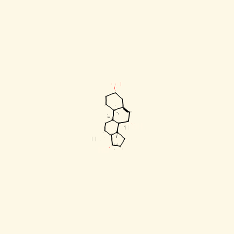 C[C@]12CC[C@H]3[C@@H]([C@@H](O)C=C4C[C@H](O)CC[C@@H]43)[C@@H]1CC[C@@H]2O